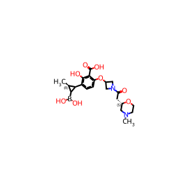 C[C@@H]1C(B(O)O)C1c1ccc(OC2CN(C(=O)C[C@H]3CN(C)CCO3)C2)c(C(=O)O)c1O